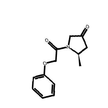 C[C@@H]1CC(=O)CN1C(=O)COc1ccccc1